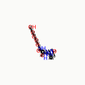 CC[C@@H]1C(=O)N(C)c2cnc(Nc3ccc(C(=O)NCCOCCOCCOCCOCCCO)cc3OC)nc2N1C1CCCC1